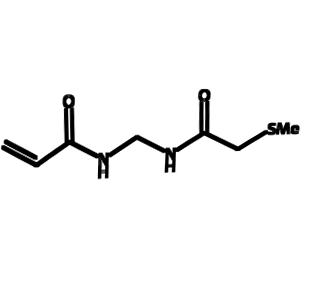 C=CC(=O)NCNC(=O)CSC